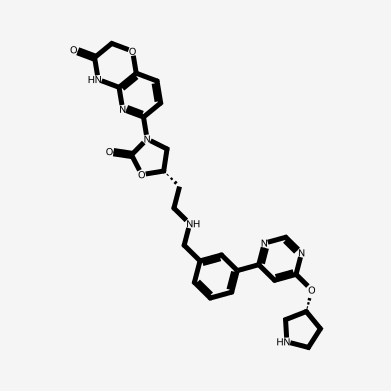 O=C1COc2ccc(N3C[C@H](CCNCc4cccc(-c5cc(O[C@@H]6CCNC6)ncn5)c4)OC3=O)nc2N1